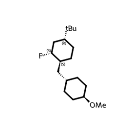 CO[C@H]1CC[C@H](C[C@@H]2CC[C@@H](C(C)(C)C)C[C@H]2F)CC1